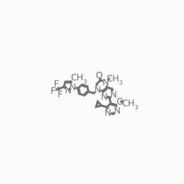 COc1ncnc(C2CC2)c1-c1ncc2c(n1)N(Cc1ccc(-n3nc(C(F)(F)F)cc3C)cc1)CC(=O)N2C